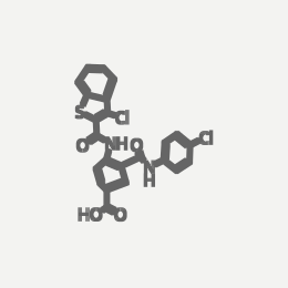 O=C(O)c1ccc(NC(=O)c2sc3ccccc3c2Cl)c(C(=O)Nc2ccc(Cl)cc2)c1